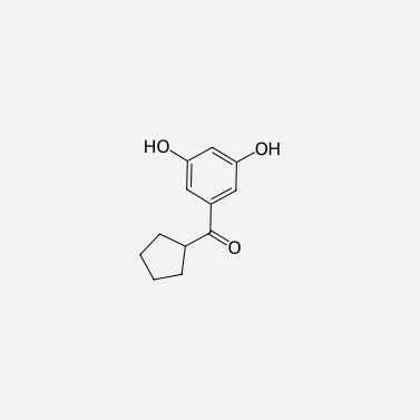 O=C(c1cc(O)cc(O)c1)C1CCCC1